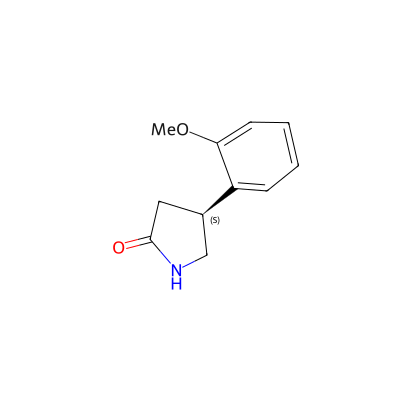 COc1ccccc1[C@H]1CNC(=O)C1